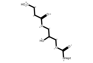 CCCCCCCC(=O)OCC(O)COC(=O)CCC(=O)O